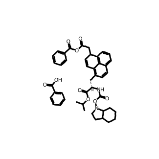 CC(C)OC(=O)[C@H](Cc1ccc2cccc3c2c1C=CC3CC(=O)OC(=O)c1ccccc1)NC(=O)ON1CCC2CCCCC21.O=C(O)c1ccccc1